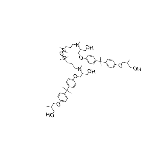 CC(CO)COc1ccc(C(C)(C)c2ccc(OCC(CO)N(C)CCC[Si](C)(C)O[Si](C)(C)CCCN(C)C(CO)COc3ccc(C(C)(C)c4ccc(OCC(C)CO)cc4)cc3)cc2)cc1